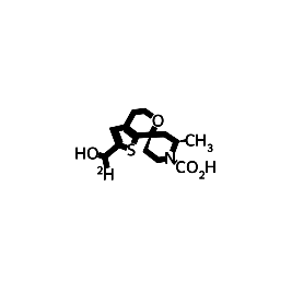 [2H]C(O)c1cc2c(s1)[C@]1(CCN(C(=O)O)[C@@H](C)C1)OCC2